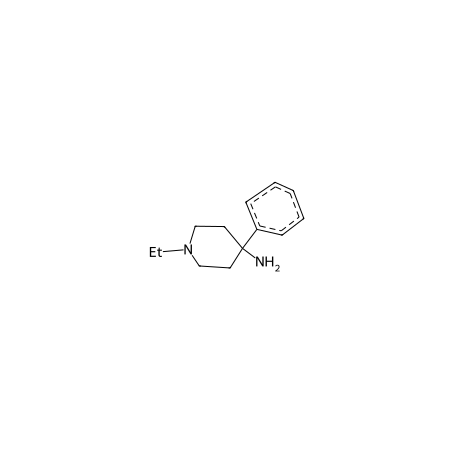 CCN1CCC(N)(c2ccccc2)CC1